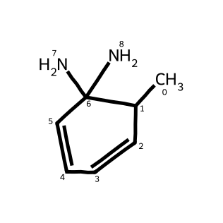 CC1C=CC=CC1(N)N